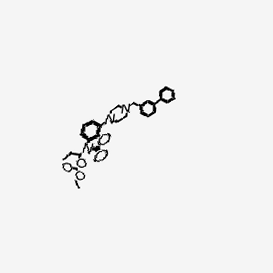 CCOC(=O)OC(CC)n1c(=O)oc2c(N3CCN(Cc4cccc(-c5ccccc5)c4)CC3)cccc21